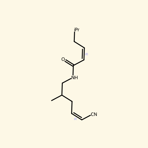 CC(C)C/C=C\C(=O)NCC(C)C/C=C\C#N